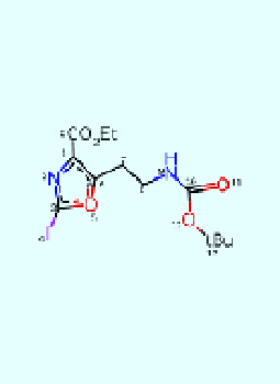 CCOC(=O)c1nc(I)oc1CCNC(=O)OC(C)(C)C